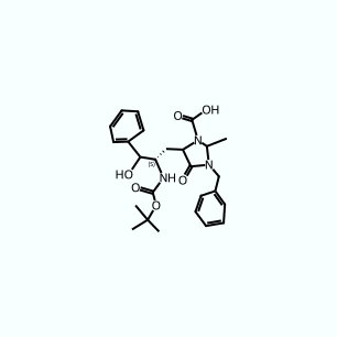 CC1N(Cc2ccccc2)C(=O)C(C[C@H](NC(=O)OC(C)(C)C)C(O)c2ccccc2)N1C(=O)O